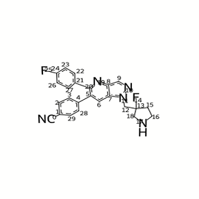 N#Cc1ccc(-c2cc3c(cnn3CC3(F)CCNC3)nc2-c2ccc(F)cc2)cc1